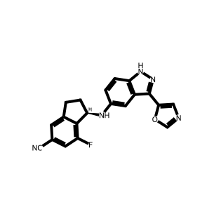 N#Cc1cc(F)c2c(c1)CC[C@H]2Nc1ccc2[nH]nc(-c3cnco3)c2c1